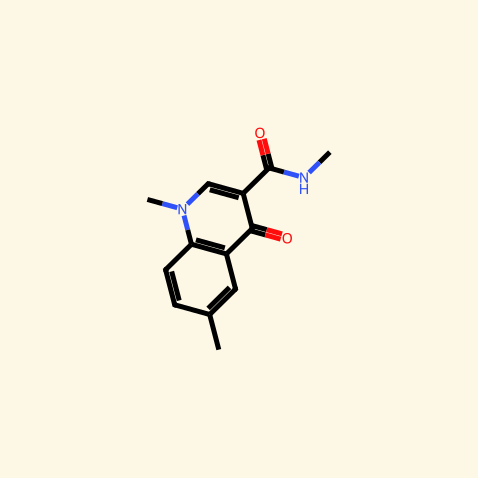 CNC(=O)c1cn(C)c2ccc(C)cc2c1=O